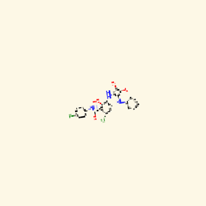 O=C(Nc1ccc(F)cc1)c1c(Cl)ccc(Nc2c(Nc3ccccc3)c(=O)c2=O)c1O